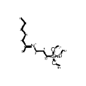 CCCCCC(C)=NCCC[Si](OC)(OC)OC